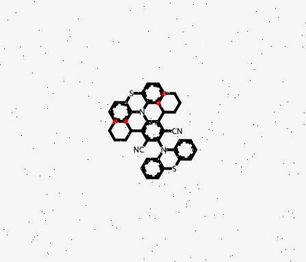 N#Cc1c(C2CCCCC2)c(N2c3ccccc3Sc3ccccc32)c(C2CCCCC2)c(C#N)c1N1c2ccccc2Sc2ccccc21